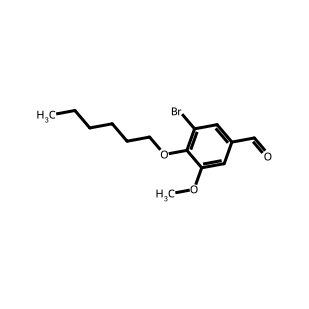 CCCCCCOc1c(Br)cc(C=O)cc1OC